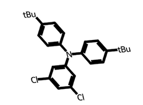 CC(C)(C)c1ccc(N(c2ccc(C(C)(C)C)cc2)c2cc(Cl)cc(Cl)c2)cc1